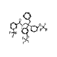 O=C(NCC(Cc1ccccc1)(c1cccc(OC(F)(F)F)c1)c1cccc(OC(F)(F)F)c1)c1cccc(C(F)(F)F)c1